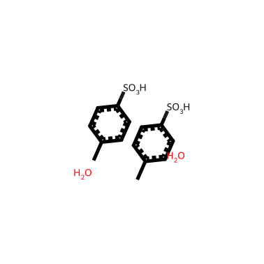 Cc1ccc(S(=O)(=O)O)cc1.Cc1ccc(S(=O)(=O)O)cc1.O.O